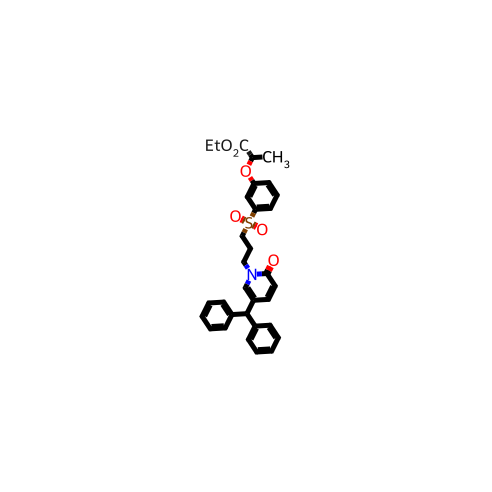 CCOC(=O)C(C)Oc1cccc(S(=O)(=O)CCCn2cc(C(c3ccccc3)c3ccccc3)ccc2=O)c1